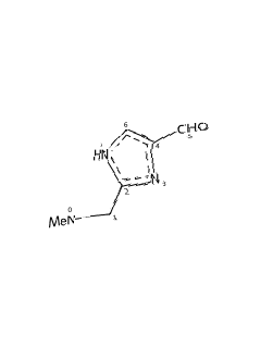 [CH2]NCc1nc(C=O)c[nH]1